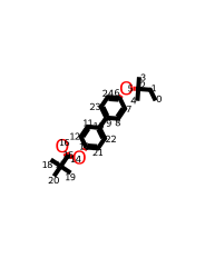 CCC(C)(C)Oc1ccc(-c2ccc(OC(=O)C(C)(C)C)cc2)cc1